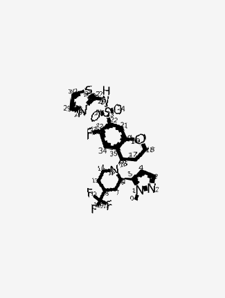 Cn1nccc1[C@H]1CC(C(F)(F)F)CCN1[C@H]1CCOc2cc(S(=O)(=O)Nc3nccs3)c(F)cc21